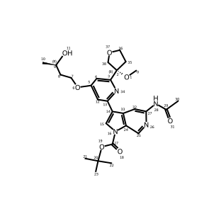 CO[C@@]1(c2cc(OCC[C@@H](C)O)cc(-c3cn(C(=O)OC(C)(C)C)c4cnc(NC(C)=O)cc34)n2)CCOC1